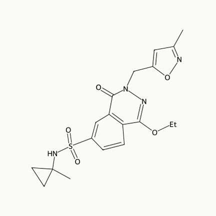 CCOc1nn(Cc2cc(C)no2)c(=O)c2cc(S(=O)(=O)NC3(C)CC3)ccc12